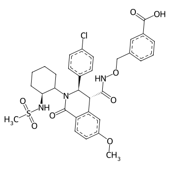 COc1ccc2c(c1)[C@@H](C(=O)NOCc1cccc(C(=O)O)c1)[C@H](c1ccc(Cl)cc1)N(C1CCCC[C@@H]1NS(C)(=O)=O)C2=O